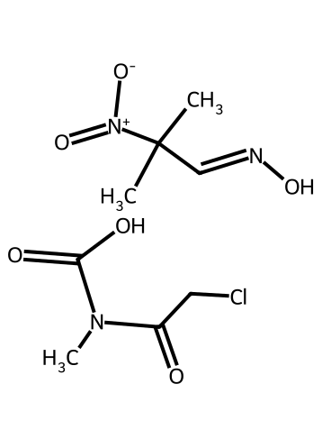 CC(C)(C=NO)[N+](=O)[O-].CN(C(=O)O)C(=O)CCl